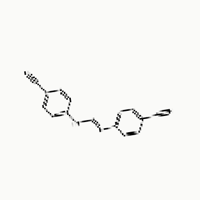 N#Cc1ccc(/N=C/Nc2ccc(C#N)cc2)cc1